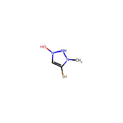 CN1NN(O)C=C1S